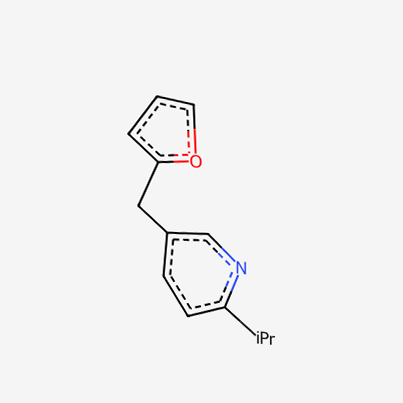 CC(C)c1ccc(Cc2ccco2)cn1